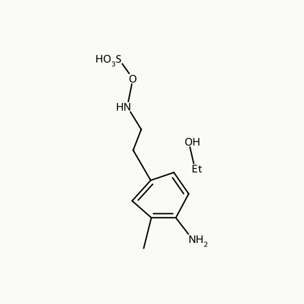 CCO.Cc1cc(CCNOS(=O)(=O)O)ccc1N